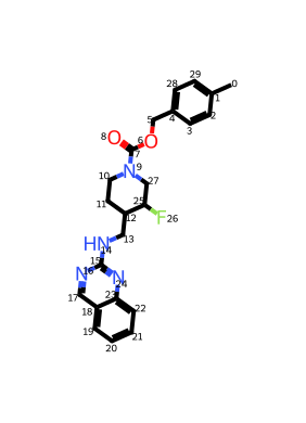 Cc1ccc(COC(=O)N2CCC(CNc3ncc4ccccc4n3)C(F)C2)cc1